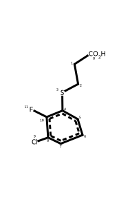 O=C(O)CCSc1cccc(Cl)c1F